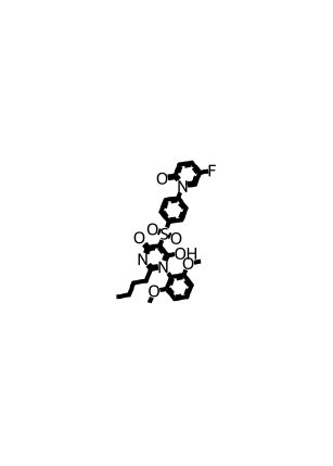 CCCCc1nc(=O)c(S(=O)(=O)c2ccc(-n3cc(F)ccc3=O)cc2)c(O)n1-c1c(OC)cccc1OC